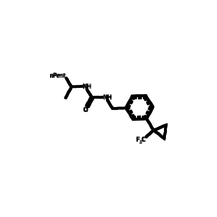 CCCCCC(C)NC(=O)NCc1cccc(C2(C(F)(F)F)CC2)c1